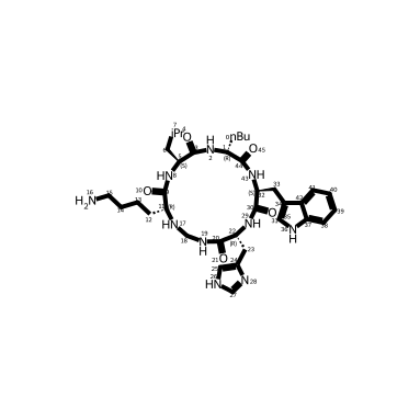 CCCC[C@H]1NC(=O)[C@H](CC(C)C)NC(=O)[C@@H](CCCCN)NCNC(=O)[C@@H](Cc2c[nH]cn2)NC(=O)[C@H](Cc2c[nH]c3ccccc23)NC1=O